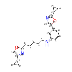 c1cc(NCCCCCc2nc(C3CC3)co2)cc(-c2cnc(C3CC3)o2)c1